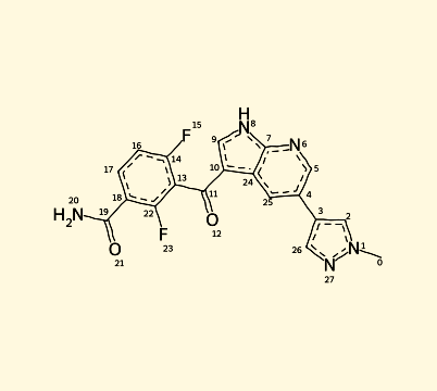 Cn1cc(-c2cnc3[nH]cc(C(=O)c4c(F)ccc(C(N)=O)c4F)c3c2)cn1